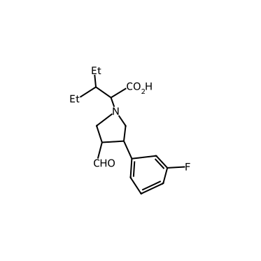 CCC(CC)C(C(=O)O)N1CC(C=O)C(c2cccc(F)c2)C1